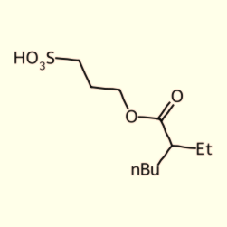 CCCCC(CC)C(=O)OCCCS(=O)(=O)O